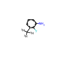 [2H]C([2H])([2H])c1cccc(N)c1F